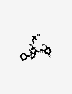 CC(C)(O)CCNc1nc(NCc2cc(Cl)ccc2O)c2ncn(C3CCCCC3)c2n1